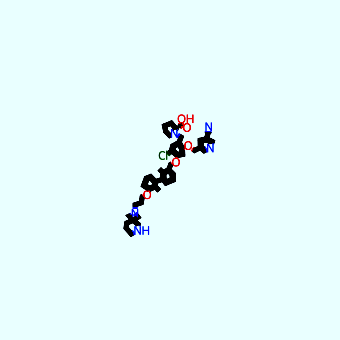 Cc1c(COc2cc(OCc3cncc(C#N)c3)c(CN3CCCC[C@H]3C(=O)O)cc2Cl)cccc1-c1cccc(OCCCN2CC3(CCCNC3)C2)c1C